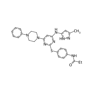 CCC(=O)Nc1ccc(Sc2nc(Nc3cc(C)n[nH]3)cc(N3CCN(c4ccccc4)CC3)n2)cc1